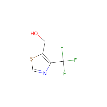 OCc1scnc1C(F)(F)F